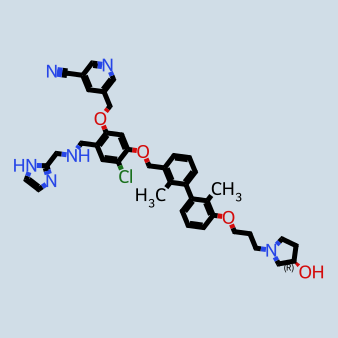 Cc1c(COc2cc(OCc3cncc(C#N)c3)c(CNCc3ncc[nH]3)cc2Cl)cccc1-c1cccc(OCCCN2CC[C@@H](O)C2)c1C